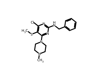 CSc1c(Cl)nc(NCc2ccccc2)nc1N1CCN(C)CC1